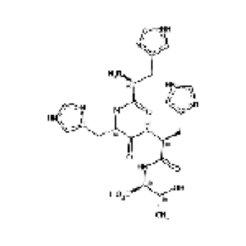 C[C@@H](O)[C@H](NC(=O)[C@H](Cc1c[nH]cn1)NC(=O)[C@H](Cc1c[nH]cn1)NC(=O)[C@@H](N)Cc1c[nH]cn1)C(=O)O